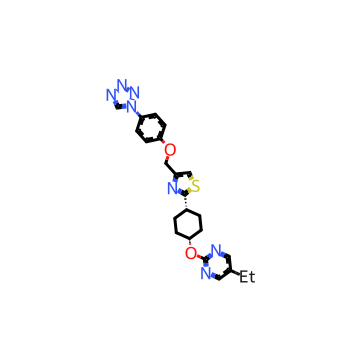 CCc1cnc(O[C@H]2CC[C@@H](c3nc(COc4ccc(-n5cnnn5)cc4)cs3)CC2)nc1